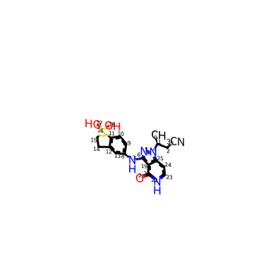 C[C@@H](CC#N)n1nc(Nc2ccc3c(c2)CCS3(O)O)c2c(=O)[nH]ccc21